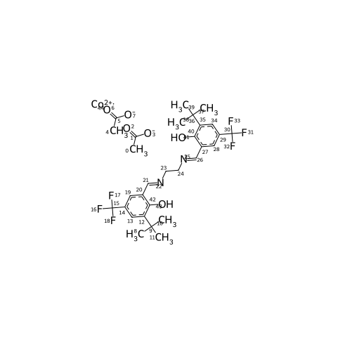 CC(=O)[O-].CC(=O)[O-].CC(C)(C)c1cc(C(F)(F)F)cc(C=NCCN=Cc2cc(C(F)(F)F)cc(C(C)(C)C)c2O)c1O.[Co+2]